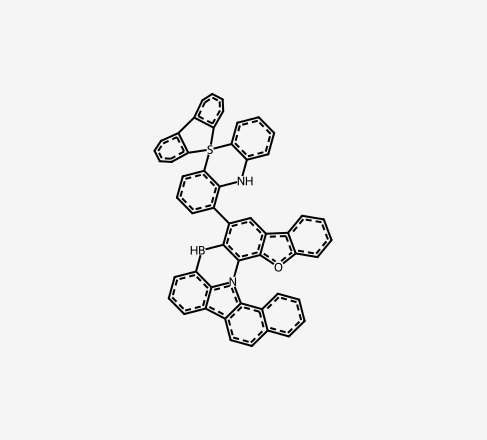 B1c2c(-c3cccc4c3Nc3ccccc3S43c4ccccc4-c4ccccc43)cc3c(oc4ccccc43)c2-n2c3c1cccc3c1ccc3ccccc3c12